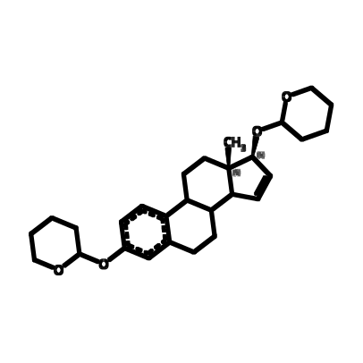 C[C@]12CCC3c4ccc(OC5CCCCO5)cc4CCC3C1C=C[C@@H]2OC1CCCCO1